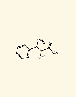 N[C@H](c1ccccc1)[C@@H](O)C(=O)O